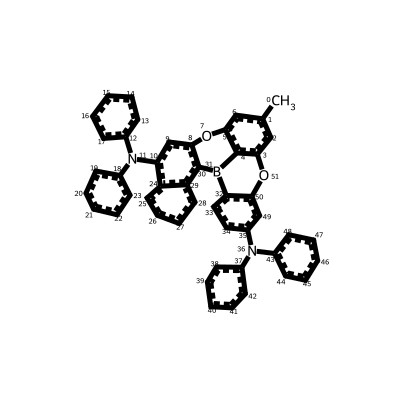 Cc1cc2c3c(c1)Oc1cc(N(c4ccccc4)c4ccccc4)c4ccccc4c1B3c1ccc(N(c3ccccc3)c3ccccc3)cc1O2